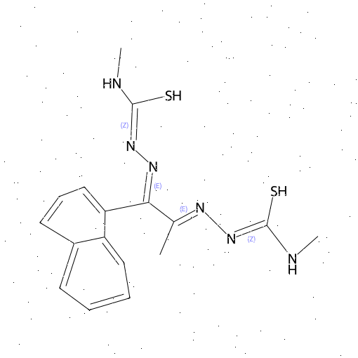 CN/C(S)=N/N=C(C)/C(=N/N=C(\S)NC)c1cccc2ccccc12